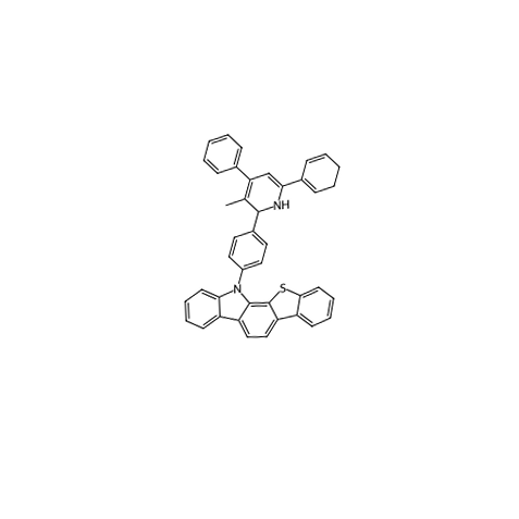 CC1=C(c2ccccc2)C=C(C2=CCCC=C2)NC1c1ccc(-n2c3ccccc3c3ccc4c5ccccc5sc4c32)cc1